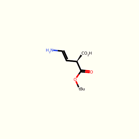 CC(C)(C)OC(=O)[C@@H](C=CN)C(=O)O